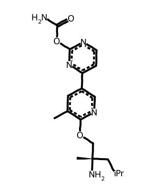 Cc1cc(-c2ccnc(OC(N)=O)n2)cnc1OC[C@@](C)(N)CC(C)C